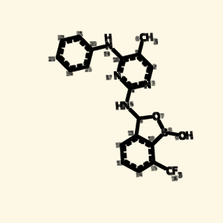 Cc1cnc(NC2OB(O)c3c2cccc3C(F)(F)F)nc1Nc1ccccc1